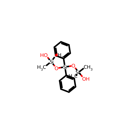 C[Si](C)(O)O[Si](O[Si](C)(C)O)(c1ccccc1)c1ccccc1